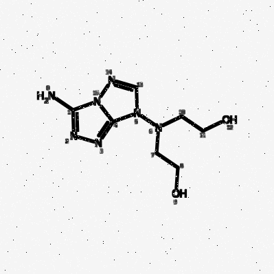 Nc1nnc2n(N(CCO)CCO)cnn12